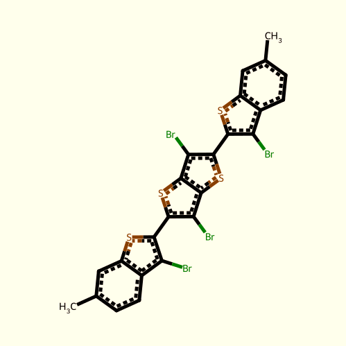 Cc1ccc2c(Br)c(-c3sc4c(Br)c(-c5sc6cc(C)ccc6c5Br)sc4c3Br)sc2c1